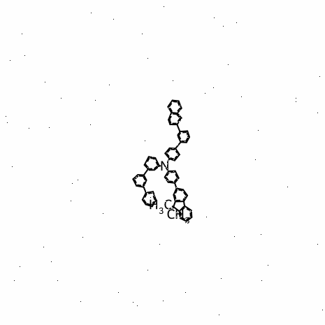 CC1(C)c2ccccc2-c2ccc(-c3ccc(N(c4ccc(-c5cccc(-c6ccc7ccccc7c6)c5)cc4)c4cccc(-c5cccc(-c6ccccc6)c5)c4)cc3)cc21